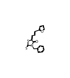 O=C1/C(=C\C=C\c2ccco2)SC(=S)N1Cc1ccccc1